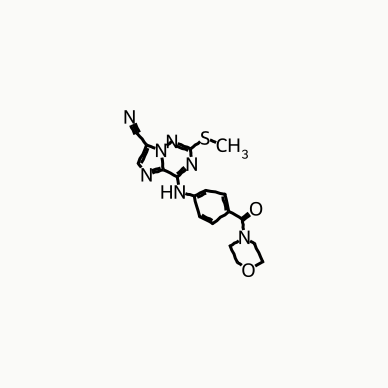 CSc1nc(Nc2ccc(C(=O)N3CCOCC3)cc2)c2ncc(C#N)n2n1